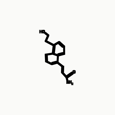 NC(=O)C=Cc1cccc2c(CCO)cccc12